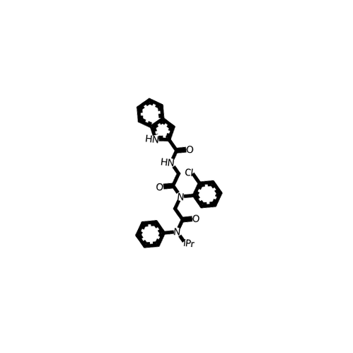 CC(C)N(C(=O)CN(C(=O)CNC(=O)c1cc2ccccc2[nH]1)c1ccccc1Cl)c1ccccc1